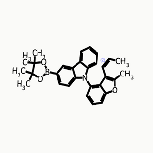 C/C=C\c1c(C)oc2cccc(-n3c4ccccc4c4cc(B5OC(C)(C)C(C)(C)O5)ccc43)c12